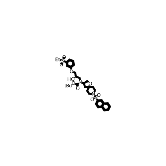 CCS(=O)(=O)c1cccc(OC[C@@H](O)CN(C(=O)OC(C)(C)C)C2COC3(CCN(S(=O)(=O)c4ccc5ccccc5c4)CC3)C2)c1